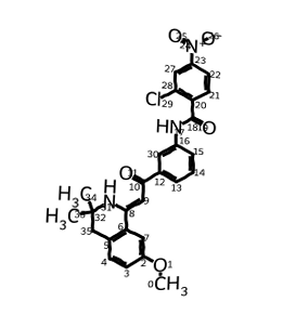 COc1ccc2c(c1)C(=CC(=O)c1cccc(NC(=O)c3ccc([N+](=O)[O-])cc3Cl)c1)NC(C)(C)C2